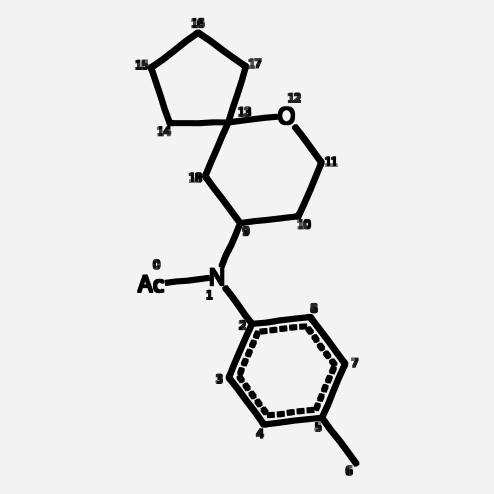 CC(=O)N(c1ccc(C)cc1)C1CCOC2(CCCC2)C1